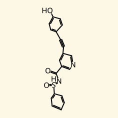 O=C(N=[SH](=O)c1ccccc1)c1cncc(C#Cc2ccc(O)cc2)c1